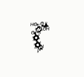 Cn1cnc2cc(-c3ccc(C(=O)N4CCN(C(=O)C5(O)CC5)[C@@H](CO)C4)cc3)ccc21